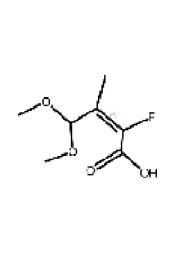 COC(OC)/C(C)=C(/F)C(=O)O